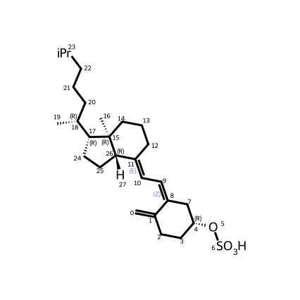 C=C1CC[C@@H](OS(=O)(=O)O)C/C1=C/C=C1\CCC[C@]2(C)[C@@H]([C@H](C)CCCC(C)C)CC[C@@H]12